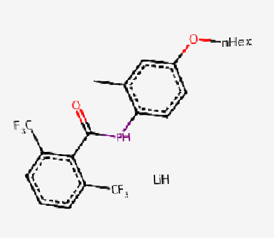 CCCCCCOc1ccc(PC(=O)c2c(C(F)(F)F)cccc2C(F)(F)F)c(C)c1.[LiH]